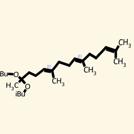 CCC(C)OC(C)(CC/C=C(\C)CC/C=C(\C)CCC=C(C)C)OC(C)CC